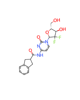 O=C(Nc1ccn(C2O[C@H](CO)[C@@H](O)C2(F)F)c(=O)n1)C1Cc2ccccc2C1